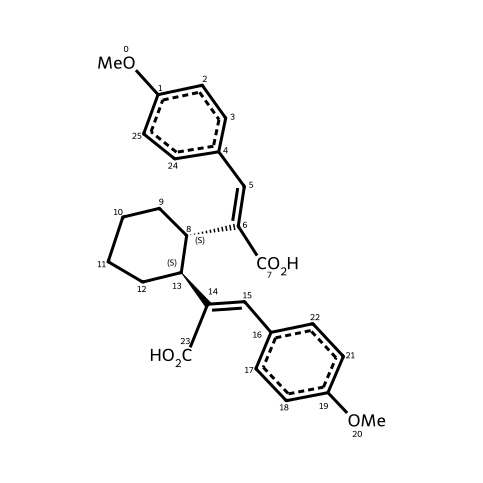 COc1ccc(C=C(C(=O)O)[C@H]2CCCC[C@@H]2C(=Cc2ccc(OC)cc2)C(=O)O)cc1